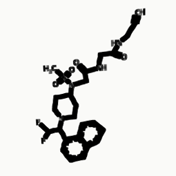 C#CCNC(=O)CNC(=O)CN(C1CCN(C(c2cccc3ccccc23)C(F)F)CC1)S(C)(=O)=O